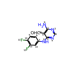 Nc1ncnc(Nc2ccc(F)c(F)c2)c1C=O